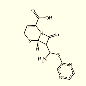 NC(Sc1cnccn1)C1C(=O)N2C(C(=O)O)=CCS[C@@H]12